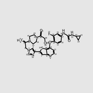 C=C(Cn1cc(-c2cc3nccc(Oc4ccc(NC(=O)NC5CC5)cc4F)c3s2)nn1)N1CCN(C(=O)CO)CC1